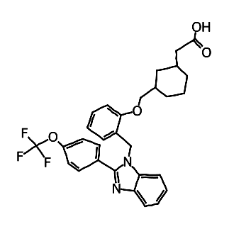 O=C(O)CC1CCCC(COc2ccccc2Cn2c(-c3ccc(OC(F)(F)F)cc3)nc3ccccc32)C1